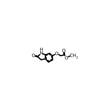 COC(=O)COc1ccc2c(c1)NC(=O)C2